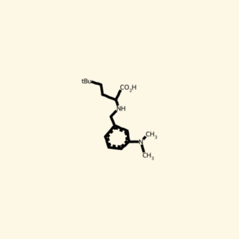 CN(C)c1cccc(CNC(CCC(C)(C)C)C(=O)O)c1